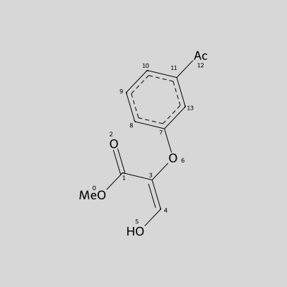 COC(=O)C(=CO)Oc1cccc(C(C)=O)c1